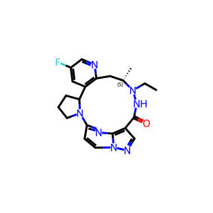 CCN1NC(=O)c2cnn3ccc(nc23)N2CCCC2c2cc(F)cnc2C[C@@H]1C